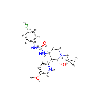 COc1ccc(C2CN(CC3(O)CC3)CCC2NC(=O)Nc2ccc(Cl)cc2)nc1